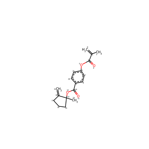 C=C(C)C(=O)Oc1ccc(C(=O)OC2(C)CCCC2=C)cc1